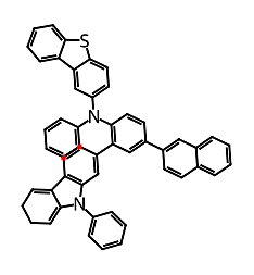 C1=c2c(n(-c3ccccc3)c3cc(-c4cc(-c5ccc6ccccc6c5)ccc4N(c4ccccc4)c4ccc5sc6ccccc6c5c4)ccc23)=CCC1